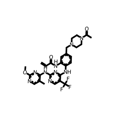 C=CC(=O)Nc1cc(CN2CCN(C(C)=O)CC2)ccc1Nc1nc(Nc2nc(OC)ncc2C)ncc1C(F)(F)F